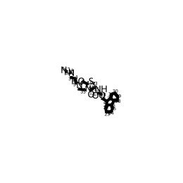 [N-]=[N+]=NCCCN1CCN(C(=O)[C@H](CS(=O)(=O)O)NC(=O)OCC2c3ccccc3-c3ccccc32)CC1